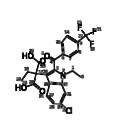 CCn1c(C(=O)c2ccc(C(F)(F)F)cc2)c(C(CC)(C(=O)O)C(=O)O)c2ccc(Cl)cc21